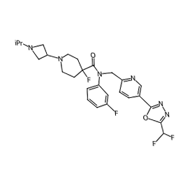 CC(C)N1CC(N2CCC(F)(C(=O)N(Cc3ccc(-c4nnc(C(F)F)o4)cn3)c3cccc(F)c3)CC2)C1